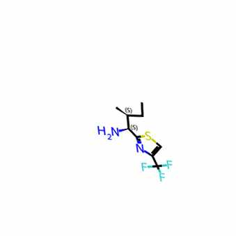 CC[C@H](C)[C@H](N)c1nc(C(F)(F)F)cs1